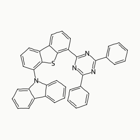 c1ccc(-c2nc(-c3ccccc3)nc(-c3cccc4c3sc3c(-n5c6ccccc6c6ccccc65)cccc34)n2)cc1